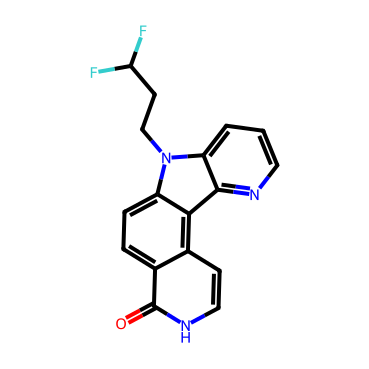 O=c1[nH]ccc2c1ccc1c2c2ncccc2n1CCC(F)F